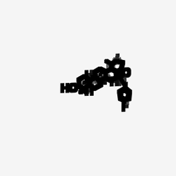 C[C@@H]1CC[C@]2(C(=O)NCc3ccc(F)cc3)CC[C@]3(C)C(=CC[C@@H]4[C@@]5(C)CC[C@H](O)C(C)(C)[C@@H]5CC[C@]43C)C2[C@H]1C